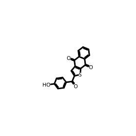 O=C(c1ccc(O)cc1)c1cc2c(s1)C(=O)c1ccccc1C2=O